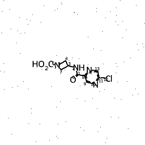 O=C(NC1CN(C(=O)O)C1)c1cnc(Cl)cn1